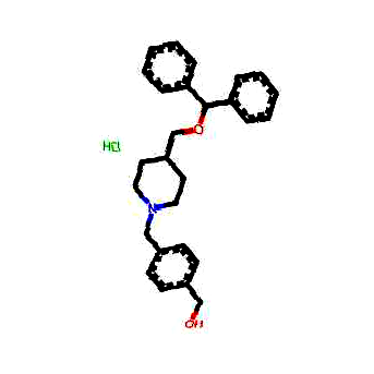 Cl.OCc1ccc(CN2CCC(COC(c3ccccc3)c3ccccc3)CC2)cc1